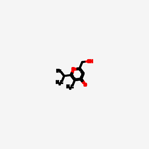 Cc1c(C(C)C(C)C)oc(CO)cc1=O